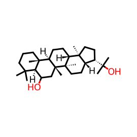 CC(C)(O)[C@H]1CC[C@]2(C)[C@H]3CC[C@@H]4[C@@]5(C)CCCC(C)(C)[C@@H]5C(O)C[C@@]4(C)[C@]3(C)CC[C@@H]12